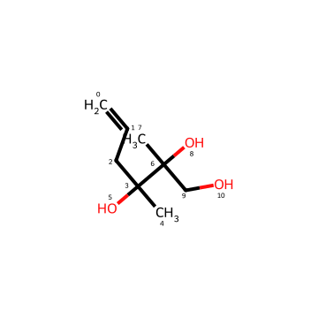 C=CCC(C)(O)C(C)(O)CO